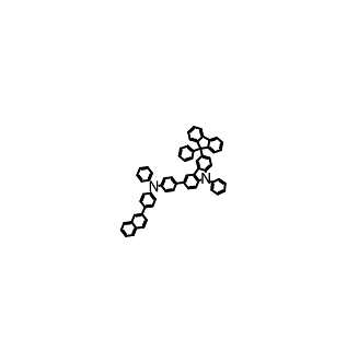 c1ccc(N(c2ccc(-c3ccc4ccccc4c3)cc2)c2ccc(-c3ccc4c(c3)c3cc(C5(c6ccccc6)c6ccccc6-c6ccccc65)ccc3n4-c3ccccc3)cc2)cc1